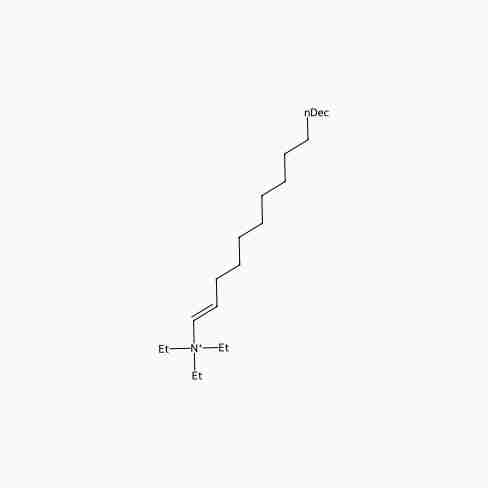 CCCCCCCCCCCCCCCCCCC=C[N+](CC)(CC)CC